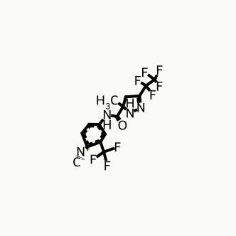 [C-]#[N+]c1ccc(NC(=O)C2(C)CC(C(F)(F)C(F)(F)F)=NN2)cc1C(F)(F)F